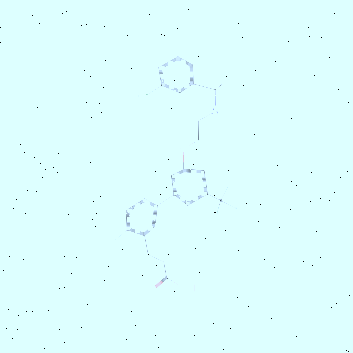 C[C@@H](NCCOc1cc(-c2ccc(F)c(CCC(=O)O)c2)cc(C(F)(F)F)c1)c1cccc(Cl)c1